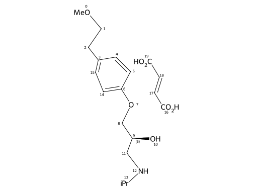 COCCc1ccc(OC[C@@H](O)CNC(C)C)cc1.O=C(O)C=CC(=O)O